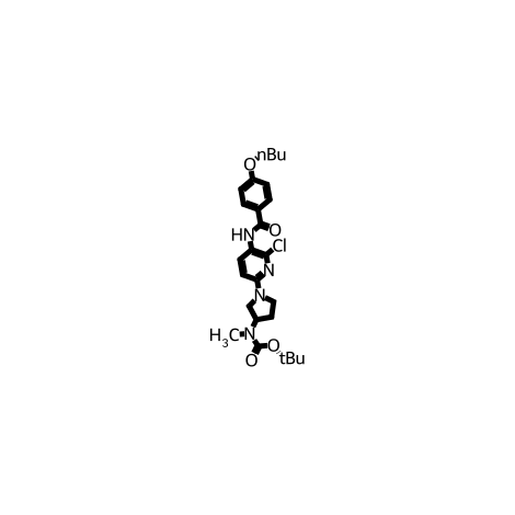 CCCCOc1ccc(C(=O)Nc2ccc(N3CCC(N(C)C(=O)OC(C)(C)C)C3)nc2Cl)cc1